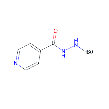 CCC(C)NNC(=O)c1ccncc1